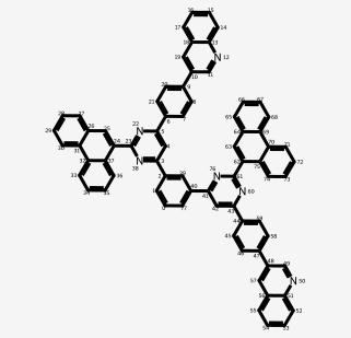 c1cc(-c2cc(-c3ccc(-c4cnc5ccccc5c4)cc3)nc(-c3cc4ccccc4c4ccccc34)n2)cc(-c2cc(-c3ccc(-c4cnc5ccccc5c4)cc3)nc(-c3cc4ccccc4c4ccccc34)n2)c1